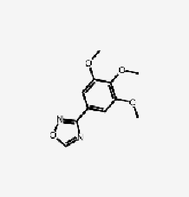 COc1cc(-c2ncon2)cc(OC)c1OC